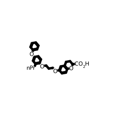 CCCc1cc(Oc2ccccc2)ccc1OCCCOc1ccc2c(c1)CCC(C(=O)O)O2